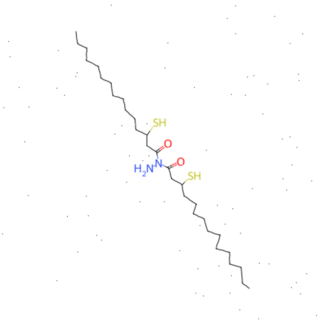 CCCCCCCCCCCCC(S)CC(=O)N(N)C(=O)CC(S)CCCCCCCCCCCC